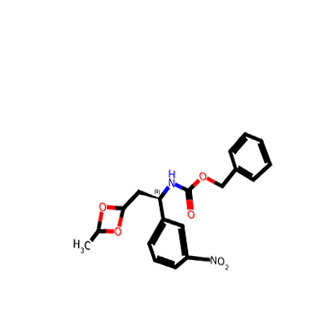 CC1OC(C[C@@H](NC(=O)OCc2ccccc2)c2cccc([N+](=O)[O-])c2)O1